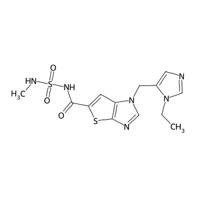 CCn1cncc1Cn1cnc2sc(C(=O)NS(=O)(=O)NC)cc21